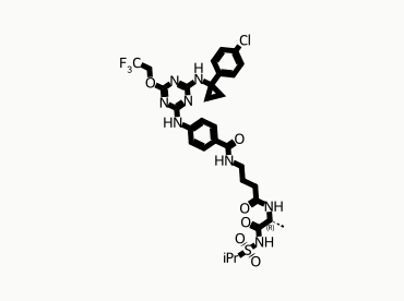 CC(C)S(=O)(=O)NC(=O)[C@@H](C)NC(=O)CCCNC(=O)c1ccc(Nc2nc(NC3(c4ccc(Cl)cc4)CC3)nc(OCC(F)(F)F)n2)cc1